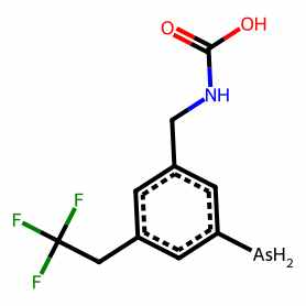 O=C(O)NCc1cc([AsH2])cc(CC(F)(F)F)c1